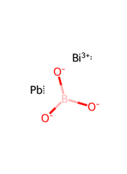 [Bi+3].[O-]B([O-])[O-].[Pb]